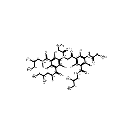 CNCC(=O)N(CC(=O)c1c(I)c(NC(=O)COC)c(I)c(C(=O)NCC(O)CO)c1I)c1c(I)c(C(=O)N(C)CC(O)CO)c(I)c(C(=O)N(C)CC(O)CO)c1I